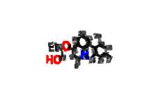 CCC(CO)Oc1cc(C)nc2c(-c3c(C)cc(C)cc3C)cccc12